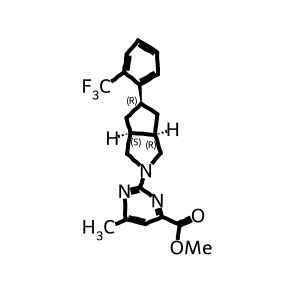 COC(=O)c1cc(C)nc(N2C[C@H]3C[C@@H](c4ccccc4C(F)(F)F)C[C@H]3C2)n1